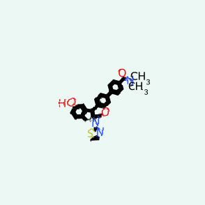 CN(C)C(=O)c1ccc(-c2ccc(C3c4cc(O)ccc4C[C@@]34C(=O)N4c3nccs3)cc2)cc1